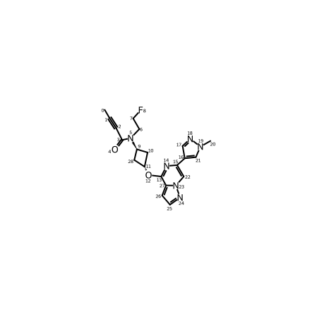 CC#CC(=O)N(CCF)[C@H]1C[C@H](Oc2nc(-c3cnn(C)c3)cn3nccc23)C1